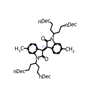 CCCCCCCCCCCCC(CCCCCCCCCCCC)N1C(=O)/C(=C2/C(=O)N(C(CCCCCCCCCCCC)CCCCCCCCCCCC)c3cc(C)ccc32)c2ccc(C)cc21